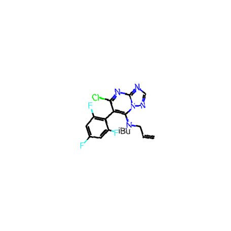 C=CCN(c1c(-c2c(F)cc(F)cc2F)c(Cl)nc2ncnn12)C(C)CC